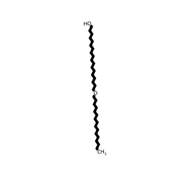 CCCCCCCCCCCCCCCCOCCCCCCCCCCCCCCCCCCO